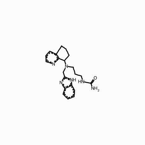 NC(=O)NCCCN(Cc1nc2ccccc2[nH]1)C1CCCc2cccnc21